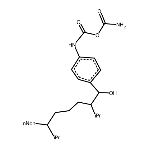 CCCCCCCCCC(CCCC(C(C)C)C(O)c1ccc(NC(=O)OC(N)=O)cc1)C(C)C